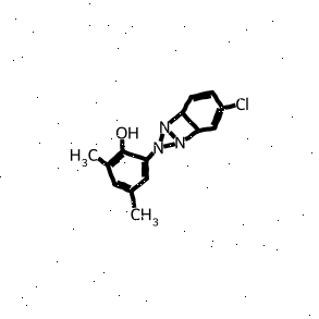 Cc1cc(C)c(O)c(-n2n3n2C2C=C(Cl)C=CC23)c1